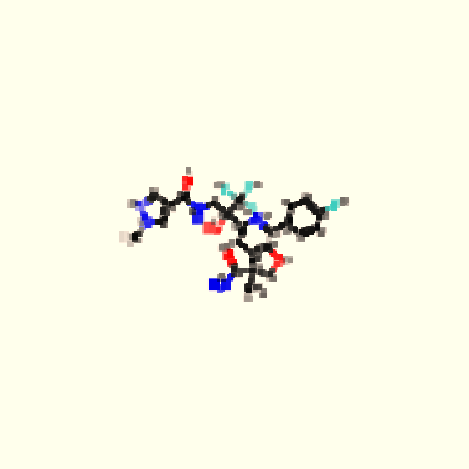 Cn1cc(C(=O)NCC(O)(c2cc3c(c(-c4ccc(F)cc4)n2)OC[C@]3(C)C(N)=O)C(F)(F)F)cn1